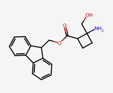 NC1(CO)CCC1C(=O)OCC1c2ccccc2-c2ccccc21